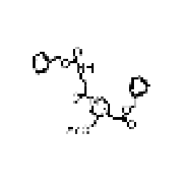 CC(=O)OCC1CN(C(=O)CCNC(=O)OCc2ccccc2)CCN1CC(=O)OCc1ccccc1